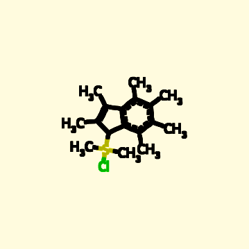 CC1=C(C)C(S(C)(C)Cl)c2c(C)c(C)c(C)c(C)c21